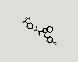 O=C(NC[C@H]1CC[C@H](C(=O)O)CC1)c1cc2c(n1Cc1ccc(Cl)cc1)CCCC2